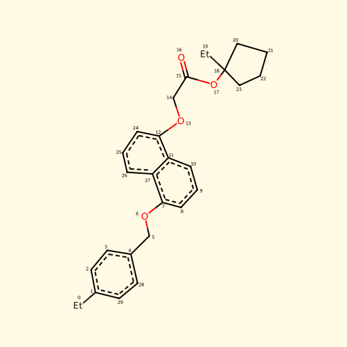 CCc1ccc(COc2cccc3c(OCC(=O)OC4(CC)CCCC4)cccc23)cc1